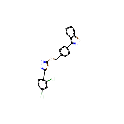 Clc1ccc(-c2nnc(SCc3ccc(-c4nsc5ccccc45)cc3)s2)c(Cl)c1